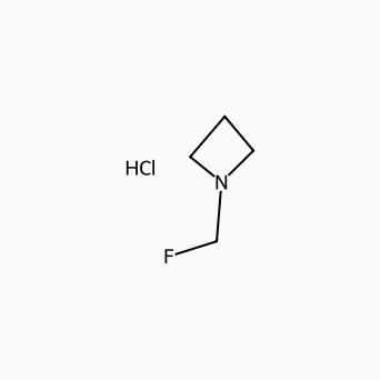 Cl.FCN1CCC1